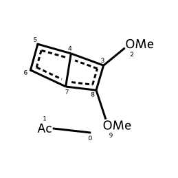 CC(C)=O.COc1c2ccc-2c1OC